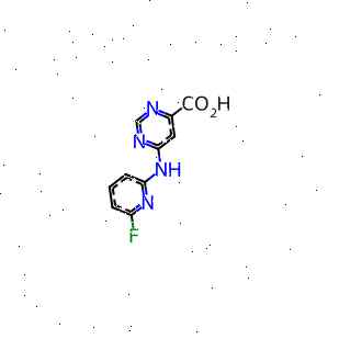 O=C(O)c1cc(Nc2cccc(F)n2)ncn1